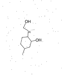 CC1CCC([C@@H](C)CO)C(O)C1